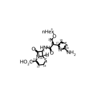 CCCCCCON=C(C(=O)NC1C(=O)N2C(C(=O)O)=CCS[C@@H]12)c1csc(N)n1